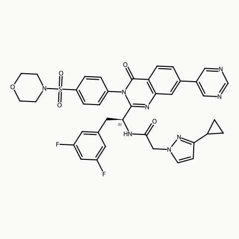 O=C(Cn1ccc(C2CC2)n1)N[C@@H](Cc1cc(F)cc(F)c1)c1nc2cc(-c3cncnc3)ccc2c(=O)n1-c1ccc(S(=O)(=O)N2CCOCC2)cc1